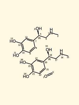 C=O.CNC[C@H](O)c1ccc(O)c(O)c1.CNC[C@H](O)c1ccc(O)c(O)c1